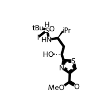 COC(=O)c1csc([C@H](O)C[C@@H](N[SH](=O)(I)C(C)(C)C)C(C)C)n1